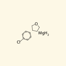 C1CCOC1.Clc1ccccc1.[MgH2]